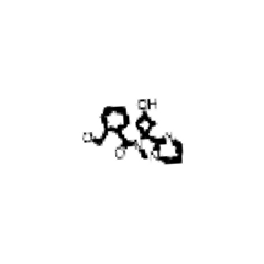 CN(C(=O)c1ccccc1C=O)C1(c2ncccn2)CC(O)C1